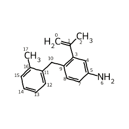 C=C(C)c1cc(N)ccc1Cc1ccccc1C